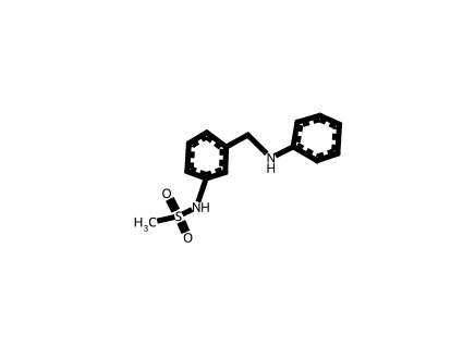 CS(=O)(=O)Nc1cccc(CNc2[c]cccc2)c1